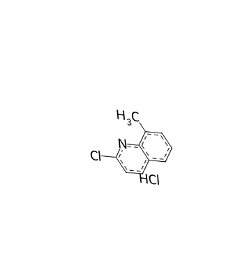 Cc1cccc2ccc(Cl)nc12.Cl